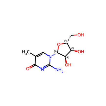 Cc1cn([C@@H]2O[C@H](CO)[C@@H](O)[C@H]2O)c(N)nc1=O